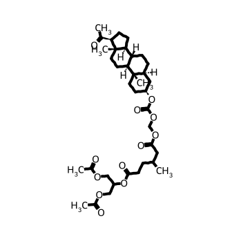 CC(=O)OCC(COC(C)=O)OC(=O)CCC(C)CC(=O)OCOC(=O)O[C@@H]1CC[C@@]2(C)[C@@H](CC[C@@H]3[C@@H]2CC[C@]2(C)[C@@H](C(C)=O)CC[C@@H]32)C1